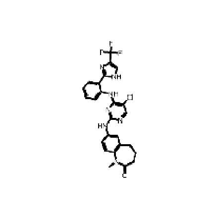 CN1C(=O)CCCc2cc(Nc3ncc(Cl)c(Nc4ccccc4-c4nc(C(F)(F)F)c[nH]4)n3)ccc21